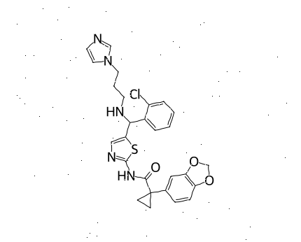 O=C(Nc1ncc(C(NCCCn2ccnc2)c2ccccc2Cl)s1)C1(c2ccc3c(c2)OCO3)CC1